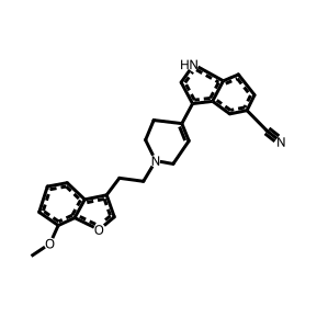 COc1cccc2c(CCN3CC=C(c4c[nH]c5ccc(C#N)cc45)CC3)coc12